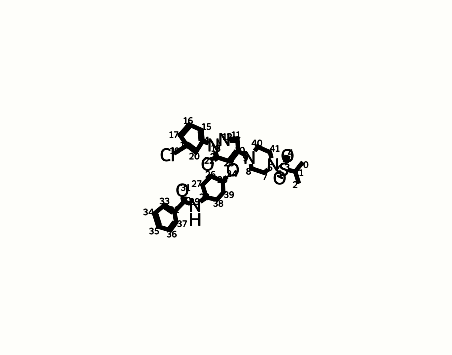 CC(C)S(=O)(=O)N1CCN(c2cnn(-c3cccc(Cl)c3)c(=O)c2OC2CCC(NC(=O)c3ccccc3)CC2)CC1